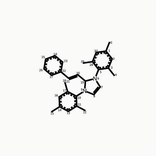 Cc1cc(C)c(N2C=CN(c3c(C)cc(C)cc3C)C2C=Cc2ccccc2)c(C)c1